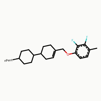 CCCCCC1CCC(C2CC=C(COc3ccc(C)c(F)c3F)CC2)CC1